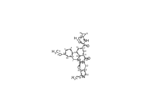 COc1cccc(Cn2c(=O)n(Cc3cnc(C)s3)c(=O)c3cc(S(=O)(=O)NC4(C)CC4)ccc32)c1